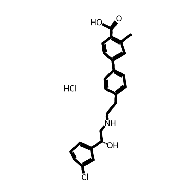 Cc1cc(-c2ccc(CCNC[C@H](O)c3cccc(Cl)c3)cc2)ccc1C(=O)O.Cl